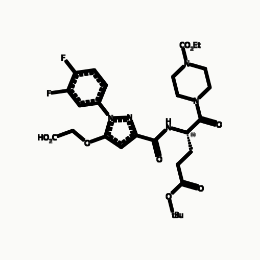 CCOC(=O)N1CCN(C(=O)[C@H](CCC(=O)OC(C)(C)C)NC(=O)c2cc(OCC(=O)O)n(-c3ccc(F)c(F)c3)n2)CC1